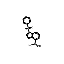 O=S(=O)(c1ccccc1)n1ccc2c(B(O)O)cccc21